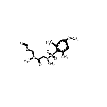 COc1cc(C)c(S(=O)(=O)N(C)CC(=O)N(C)COC=O)c(C)c1